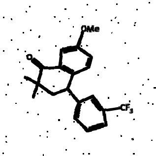 COc1ccc2c(c1)C(=O)C(C)(C)CC2c1cccc(C(F)(F)F)c1